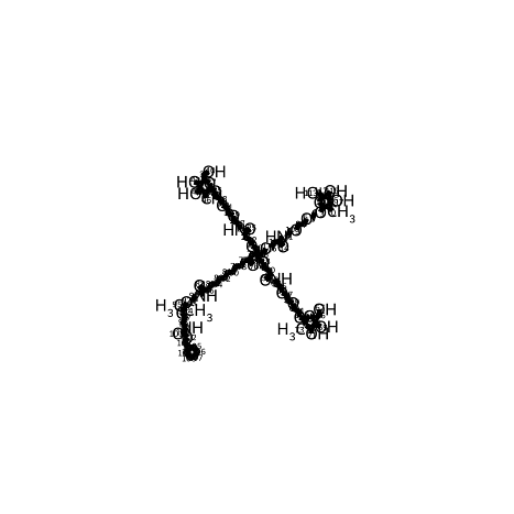 CC1C(OCCOCCOCCNC(=O)CCOCC(COCCC(=O)NCCOCCOCCOC2OC(CO)C(O)C(O)C2C)(COCCC(=O)NCCOCCOCCOC2OC(CO)C(O)C(O)C2C)CC(=O)CCCCCCCCCCC(=O)NCCOC(C)(C)OCCNC(=O)OCc2ccccc2)OC(CO)C(O)C1O